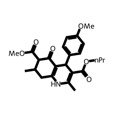 CCCOC(=O)C1=C(C)NC2=C(C(=O)C(C(=O)OC)C(C)C2)C1c1ccc(OC)cc1